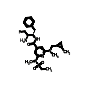 CCS(=O)(=O)N(C)c1cc(C(=O)N[C@@H](Cc2ccccc2)[C@@H](N)CF)cc(N(C)CC2CC2C)n1